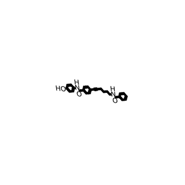 O=C(NCCCCC#Cc1ccc(C(=O)Nc2ccc(O)cc2)cc1)c1ccccc1